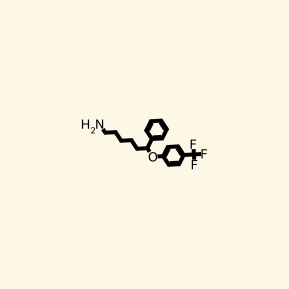 NCCCCCC(Oc1ccc(C(F)(F)F)cc1)c1ccccc1